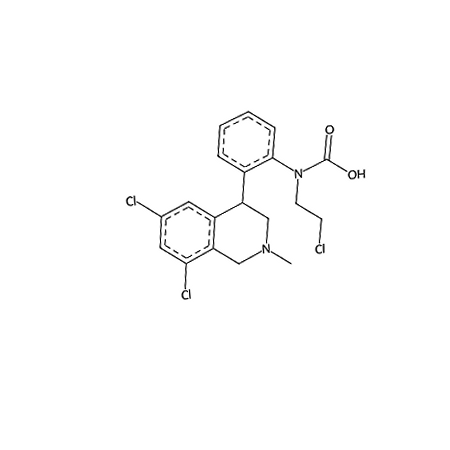 CN1Cc2c(Cl)cc(Cl)cc2C(c2ccccc2N(CCCl)C(=O)O)C1